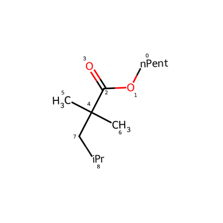 CCCCCOC(=O)C(C)(C)CC(C)C